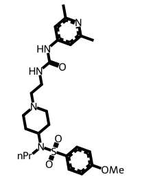 CCCN(C1CCN(CCNC(=O)Nc2cc(C)nc(C)c2)CC1)S(=O)(=O)c1ccc(OC)cc1